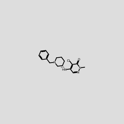 Cn1ncc(N[C@H]2CCCN(Cc3ccccc3)C2)c(Cl)c1=O